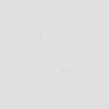 COCCOCC(C)(C)OC